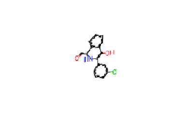 O=CC1NC(c2cccc(Cl)c2)=C(O)c2ccccc21